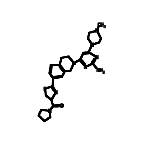 CN1CCN(c2cc(N3CCc4ccc(C5=NC(C(=O)N6CCCC6)CS5)cc4C3)nc(N)n2)CC1